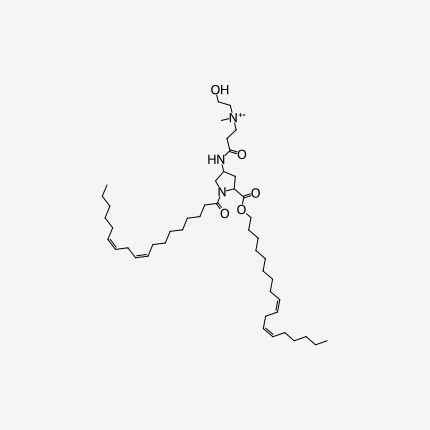 CCCCC/C=C\C/C=C\CCCCCCCCOC(=O)C1CC(NC(=O)CC[N+](C)(C)CCO)CN1C(=O)CCCCCCC/C=C\C/C=C\CCCCC